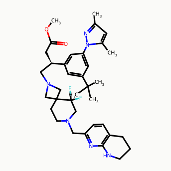 COC(=O)C[C@H](CN1CC2(CCN(Cc3ccc4c(n3)NCCC4)CC2(F)F)C1)c1cc(-n2nc(C)cc2C)cc(C(C)(C)C)c1